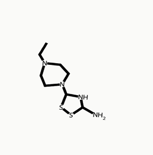 CCN1CCN(C2NC(N)SS2)CC1